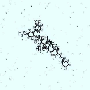 C=CN(Cc1ccc(CCCN2CCCCC2)c(F)c1F)N(C)C(/C(O)=C(\C)C(=O)Nc1ccc(C(F)(F)F)cc1-c1cc(C(F)(F)F)ncn1)C(C)C